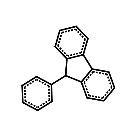 [c]1cccc2c1C(c1ccccc1)c1ccccc1-2